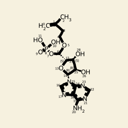 C=C(C)CCOC(OP(=O)(O)O)[C@H]1O[C@@H](n2cnc3c(N)ncnc32)[C@H](O)[C@@H]1O